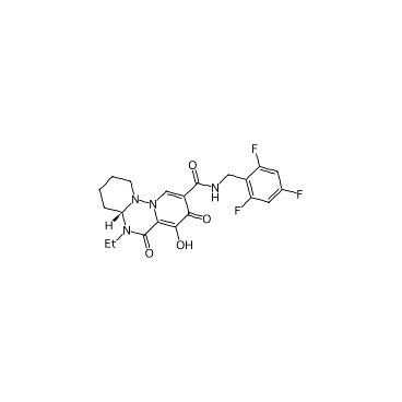 CCN1C(=O)c2c(O)c(=O)c(C(=O)NCc3c(F)cc(F)cc3F)cn2N2CCCC[C@@H]12